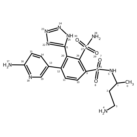 CC(CCN)NS(=O)(=O)c1ccc(-c2ccc(N)nc2)c(-c2nnn[nH]2)c1S(N)(=O)=O